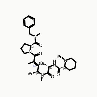 C/C(=C\[C@H](C(C)C)N(C)C(=O)[C@@H](NC(=O)[C@H]1CCCCN1C(C)C)C(C)(C)C)C(=O)N1CCC[C@H]1C(=O)N(C)Cc1ccccc1